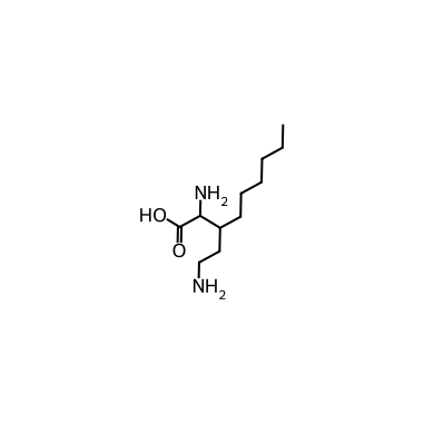 CCCCCCC(CCN)C(N)C(=O)O